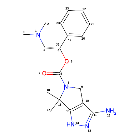 CN(C)C[C@@H](OC(=O)N1Cc2c(N)n[nH]c2C1(C)C)c1ccccc1